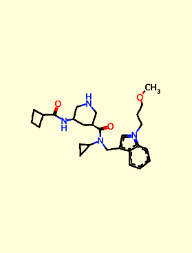 COCCCn1cc(CN(C(=O)[C@@H]2CNC[C@H](NC(=O)C3CCC3)C2)C2CC2)c2ccccc21